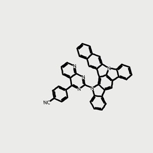 N#Cc1ccc(-c2nc(-n3c4ccccc4c4cc5c6ccccc6n6c7cc8ccccc8cc7c(c43)c56)nc3ncccc23)cc1